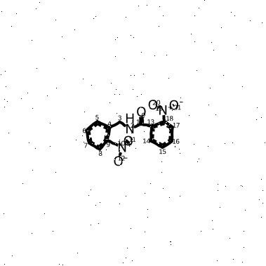 O=C(NCc1ccccc1[N+](=O)[O-])c1ccccc1[N+](=O)[O-]